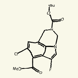 COC(=O)c1c(Cl)cc2c3c1c(F)cn3CN(C(=O)OC(C)(C)C)C2